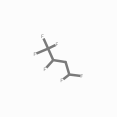 F[C](F)CC(F)C(F)(F)F